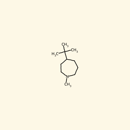 CN1CCCC(C(C)(C)C)CC1